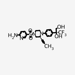 CC#C[C@H]1CN(S(=O)(=O)c2ccc(N)nc2)CCN1c1ccc([C@](O)(CO)C(F)(F)F)cc1